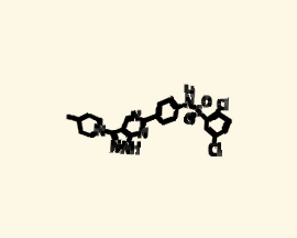 CC1CCN(c2n[nH]c3nc(-c4ccc(NS(=O)(=O)c5cc(Cl)ccc5Cl)cc4)ncc23)CC1